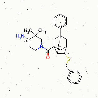 CC1(C)CN(C(=O)C23CC4CC(c5ccccc5)(CC2C4SCc2ccccc2)C3)CC[C@@H]1N